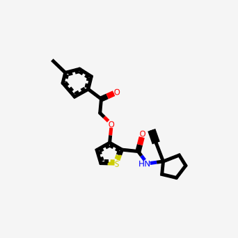 C#CC1(NC(=O)c2sccc2OCC(=O)c2ccc(C)cc2)CCCC1